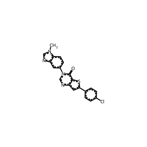 Cn1cnc2cc(-n3cnc4cc(-c5ccc(Cl)cc5)sc4c3=O)ccc21